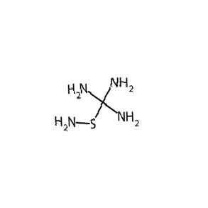 NSC(N)(N)N